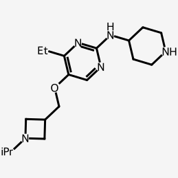 CCc1nc(NC2CCNCC2)ncc1OCC1CN(C(C)C)C1